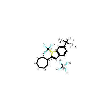 CC(C)(C)c1ccc2cc(C3CCCCCC3)[s+](C(F)(F)F)c2c1.F[B-](F)(F)F